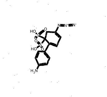 [N-]=[N+]=NC1=CC=C(c2ccc(N)cc2)C(S(=O)(=O)O)(S(=O)(=O)O)C1